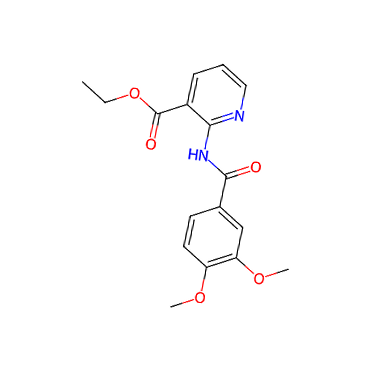 CCOC(=O)c1cccnc1NC(=O)c1ccc(OC)c(OC)c1